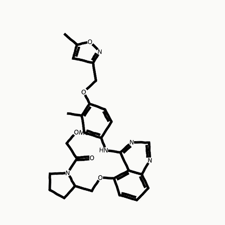 COCC(=O)N1CCCC1COc1cccc2ncnc(Nc3ccc(OCc4cc(C)on4)c(C)c3)c12